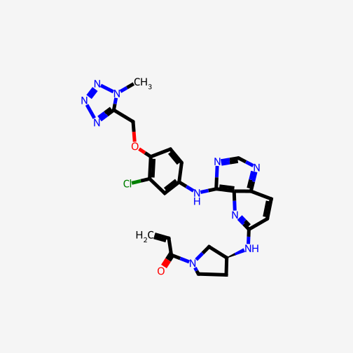 C=CC(=O)N1CC[C@H](Nc2ccc3ncnc(Nc4ccc(OCc5nnnn5C)c(Cl)c4)c3n2)C1